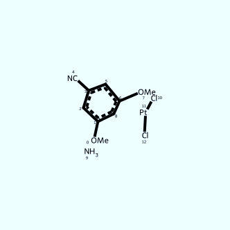 COc1cc(C#N)cc(OC)c1.N.[Cl][Pt][Cl]